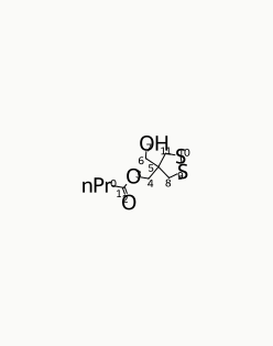 CCCC(=O)OCC1(CO)CSSC1